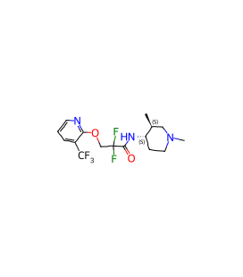 C[C@H]1CN(C)CC[C@@H]1NC(=O)C(F)(F)COc1ncccc1C(F)(F)F